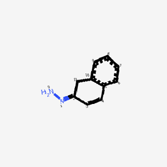 NN=C1C=Cc2ccccc2C1